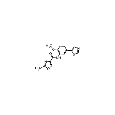 CSc1ccc(-c2cncs2)cc1NC(=O)c1coc(N)n1